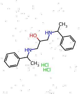 CC(NCC(O)CNC(C)c1ccccc1)c1ccccc1.Cl.Cl